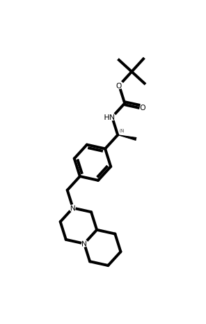 C[C@H](NC(=O)OC(C)(C)C)c1ccc(CN2CCN3CCCCC3C2)cc1